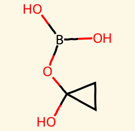 OB(O)OC1(O)CC1